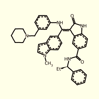 CC[C@@H](NC(=O)c1ccc2c(c1)/C(=C(/Nc1cccc(CN3CCCCC3)c1)c1ccc3c(ccn3C)c1)C(=O)N2)c1ccccc1